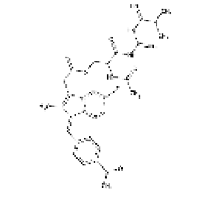 CC(=O)NC(CSC(=O)CC1=C(C)/C(=C/c2ccc([S+](C)[O-])cc2)c2ccc(F)cc21)C(=O)NC(=N)NC(=N)N(C)C